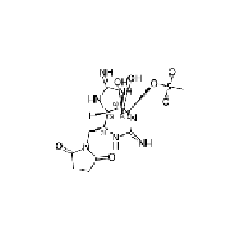 CS(=O)(=O)O[C@H]1CN2C(=N)N[C@@H](CN3C(=O)CCC3=O)[C@@H]3NC(=N)N[C@@]32C1(O)O